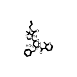 C=CCN1C(=O)[C@H]2N(C(=O)[C@@H](O)[C@H](Cc3ccccc3)NC(=O)c3cccnc3C)CSC21C